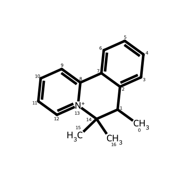 CC1c2ccccc2-c2cccc[n+]2C1(C)C